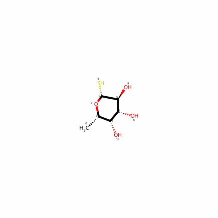 C[C@@H]1O[C@H](S)[C@@H](O)[C@H](O)[C@@H]1O